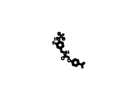 C=C(C)c1ccc(OCC(=O)NCc2ccc(NS(C)(=O)=O)c(F)c2)cc1